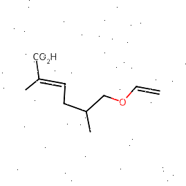 C=COCC(C)CC=C(C)C(=O)O